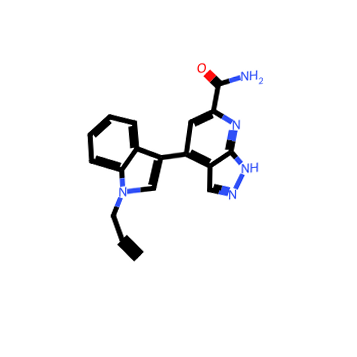 C#CCn1cc(-c2cc(C(N)=O)nc3[nH]ncc23)c2ccccc21